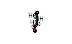 O=C(Cc1ccccc1O)NCCNC(=O)c1cc(-c2ccccc2)on1